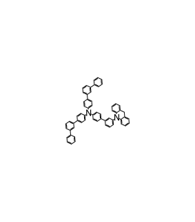 c1ccc(-c2cccc(-c3ccc(N(c4ccc(-c5cccc(-c6ccccc6)c5)cc4)c4ccc(-c5cccc(N6c7ccccc7Cc7ccccc76)c5)cc4)cc3)c2)cc1